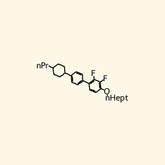 CCCCCCCOc1ccc(-c2ccc(C3CCC(CCC)CC3)cc2)c(F)c1F